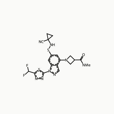 CNC(=O)C1CN(c2cc(SNC3(C#N)CC3)cc3c2cnn3-c2nnc(C(F)F)s2)C1